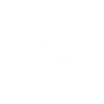 CC(C)(CCC(C)(C)N1CCCSC1)N1COCOC1